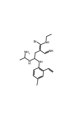 C=Cc1cc(F)ccc1NC(C/C(C=N)=C(\Br)NCC)NC(C)N